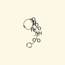 CC(C)(NC[C@@H]1C(=O)O[C@H]2[C@H]1CCC#CCCC[C@@]1(C)O[C@@H]21)C(=O)OCc1ccccc1